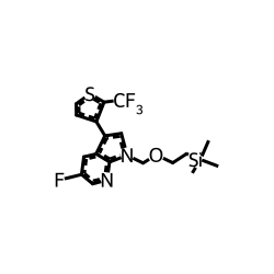 C[Si](C)(C)CCOCn1cc(-c2ccsc2C(F)(F)F)c2cc(F)cnc21